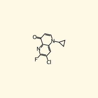 O=c1ccn(C2CC2)c2cc(Cl)c(F)nc12